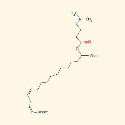 CCCCC/C=C\C/C=C\CCCCCCCCCC(CCCCCCCCC)OC(=O)CCCN(C)C